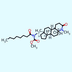 CCCCCCCC(=O)N(C[C@H]1CC[C@H]2[C@@H]3CC[C@H]4N(C)C(=O)CC[C@]4(C)[C@H]3CC[C@]12C)C(=O)OC